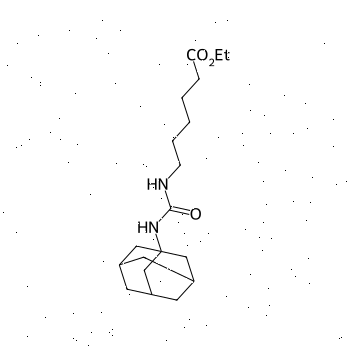 CCOC(=O)CCCCCNC(=O)NC12CC3CC(CC(C3)C1)C2